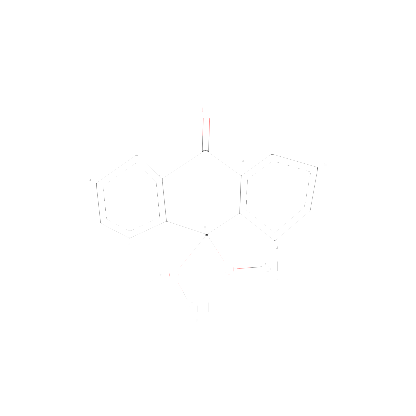 O=C1c2ccccc2C(O[SiH3])(O[SiH3])c2ccccc21